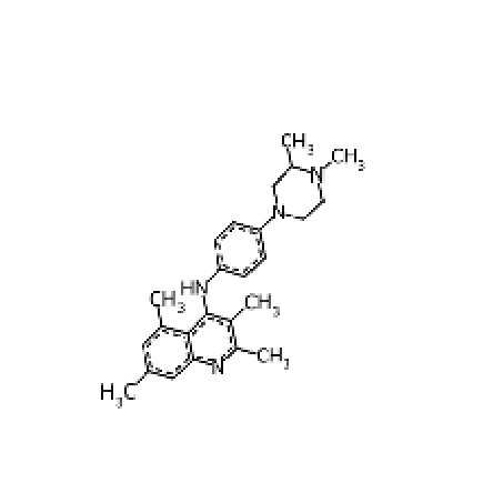 Cc1cc(C)c2c(Nc3ccc(N4CCN(C)C(C)C4)cc3)c(C)c(C)nc2c1